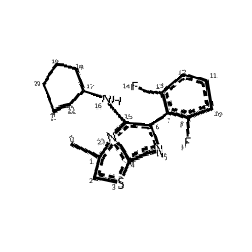 Cc1csc2nc(-c3c(F)cccc3F)c(NC3CCCCC3)n12